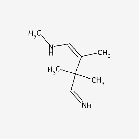 CN/C=C(/C)C(C)(C)C=N